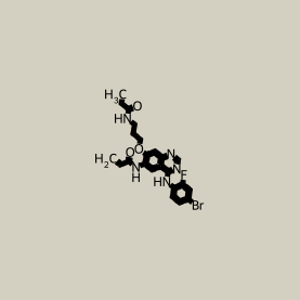 C=CC(=O)Nc1cc2c(Nc3ccc(Br)cc3F)ncnc2cc1OCCCNC(=O)CC